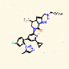 COCNCC1=CC2C(N1)C(=O)N(c1cc(-c3ccc(F)cc3-n3nncc3C)cc(C3CC3)n1)CC2C(F)(F)F